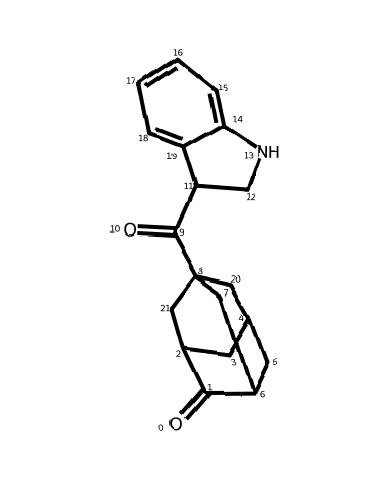 O=C1C2CC3CC1CC(C(=O)C1CNc4ccccc41)(C3)C2